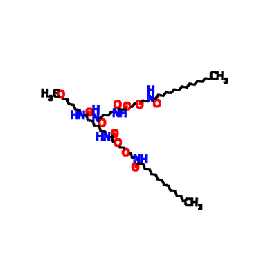 CCCCCCCCCCCCCCCC(=O)NCCOCCOCC(=O)NCCCC[C@@H](CC(=O)NCCCCCCOC)NC(=O)CCCNC(=O)COCCOCCNC(=O)CCCCCCCCCCCCCCC